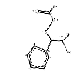 CC(=O)OSC(c1ccccc1)C(C)C